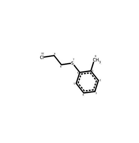 Cc1ccccc1SCCCl